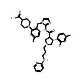 Cc1ccc(Cn2ccnc2NC(=O)C2CN(CCCNc3ccccn3)C[C@H]2c2ccc(F)cc2F)c(N2CCC(C(=O)O)CC2)c1